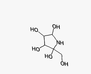 OCC1(O)NC(O)C(O)C1O